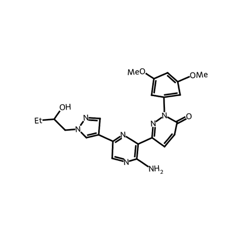 CCC(O)Cn1cc(-c2cnc(N)c(-c3ccc(=O)n(-c4cc(OC)cc(OC)c4)n3)n2)cn1